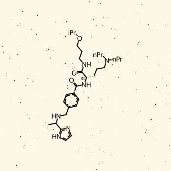 CCCN(CCC)CCC[C@H](NC(=O)c1ccc(CNC(C)c2ncc[nH]2)cc1)C(=O)NCCCOC(C)C